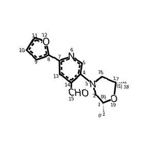 C[C@@H]1CN(c2cnc(-c3ccco3)cc2C=O)C[C@H](C)O1